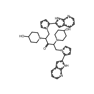 O=C(C(Cn1cccc1-c1cc2cccnc2[nH]1)N1CCC(O)CC1)C(Cn1cccc1-c1cc2cccnc2[nH]1)N1CCC(O)CC1